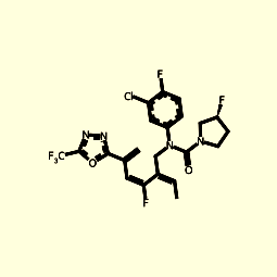 C=C(/C=C(F)\C(=C/C)CN(C(=O)N1CC[C@H](F)C1)c1ccc(F)c(Cl)c1)c1nnc(C(F)(F)F)o1